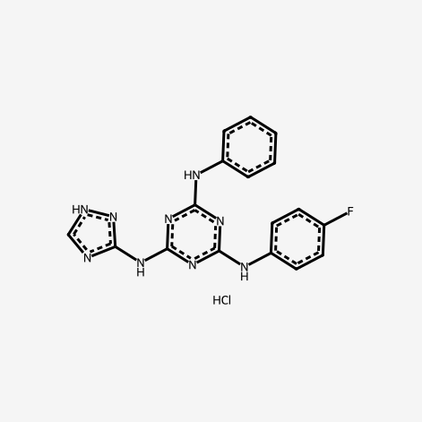 Cl.Fc1ccc(Nc2nc(Nc3ccccc3)nc(Nc3nc[nH]n3)n2)cc1